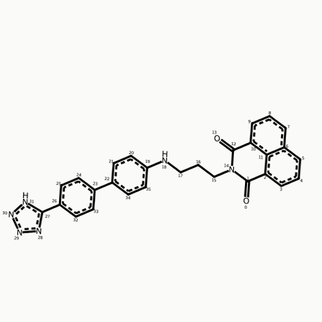 O=C1c2cccc3cccc(c23)C(=O)N1CCCNc1ccc(-c2ccc(-c3nnn[nH]3)cc2)cc1